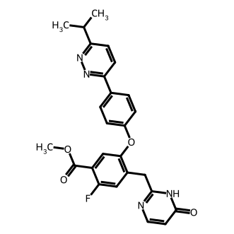 COC(=O)c1cc(Oc2ccc(-c3ccc(C(C)C)nn3)cc2)c(Cc2nccc(=O)[nH]2)cc1F